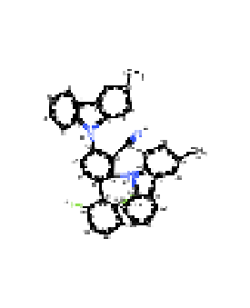 Cc1ccc2c(c1)c1ccccc1n2-c1ccc(-c2c(F)cccc2F)c(-n2c3ccccc3c3cc(C)ccc32)c1C#N